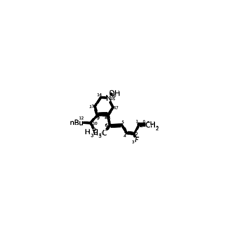 C=C/C(F)=C\C=C(/C)C1=C(C(C)CCCC)CCN(O)C1